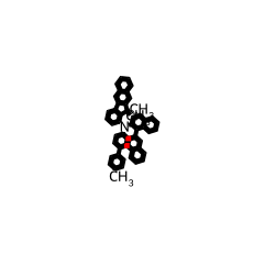 Cc1ccc(-c2ccc(N(c3cccc4c3C(C)(C)c3cc5ccccc5cc3-4)c3ccc4ccccc4c3-c3ccc4ccccc4c3)cc2)cc1